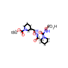 CC(C)(C)OC(=O)N1CCCC(CONC(=O)[C@@H]2CCCCN2C(=O)NOS(=O)(=O)O)C1